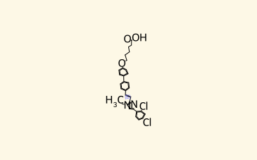 CCn1cc(-c2ccc(Cl)cc2Cl)nc1/C=C/c1ccc(-c2ccc(OCCCCCC(=O)O)cc2)cc1